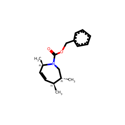 C[C@@H]1C=C[C@H](C)[C@@H](C)CN1C(=O)OCc1ccccc1